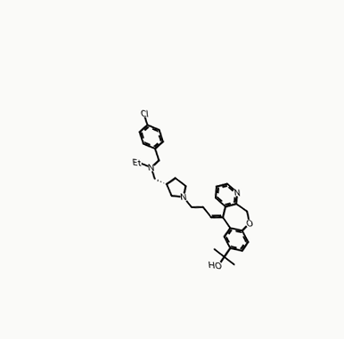 CCN(Cc1ccc(Cl)cc1)C[C@@H]1CCN(CCC=C2c3cc(C(C)(C)O)ccc3OCc3ncccc32)C1